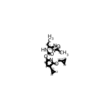 CCC(NC(=O)Oc1ccc(C2CC2)c(OCC2CC2)n1)c1noc(C)n1